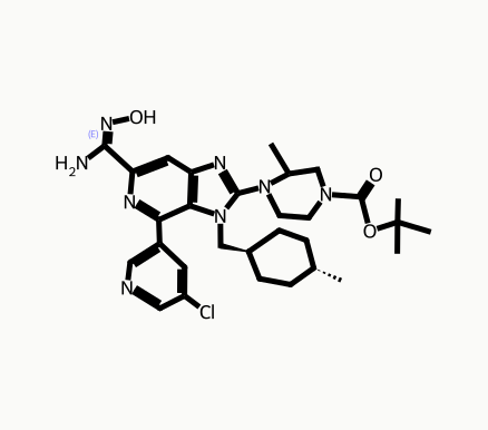 CC1CN(C(=O)OC(C)(C)C)CCN1c1nc2cc(/C(N)=N\O)nc(-c3cncc(Cl)c3)c2n1C[C@H]1CC[C@H](C)CC1